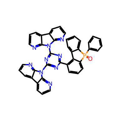 O=P1(c2ccccc2)c2ccccc2-c2c(-c3nc(-n4c5ncccc5c5cccnc54)nc(-n4c5ncccc5c5cccnc54)n3)cccc21